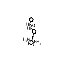 Nc1ncnc(N)c1C#Cc1cccc(NC(=O)Nc2ccccc2)c1